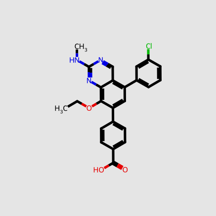 CCOc1c(-c2ccc(C(=O)O)cc2)cc(-c2cccc(Cl)c2)c2cnc(NC)nc12